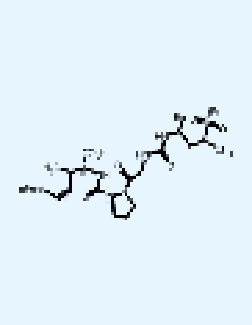 CCCCC/C=C\C(C)[C@@H](NC(=O)[C@@H]1CCCN1C(=O)CNC(=O)NC(CN(C)S(=O)(=O)C(C)C)C(C)(C)C)C(=O)O